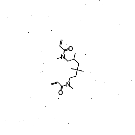 C=CC(=O)N(C)CCC(C)(C)CC(C)CN(C)C(=O)C=C